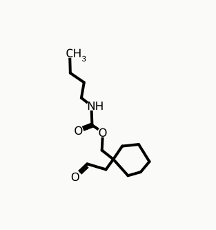 CCCCNC(=O)OCC1(CC=O)CCCCC1